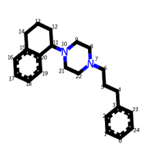 c1ccc(CCCN2CCN(C3CCCc4ccccc43)CC2)cc1